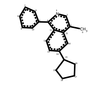 Cc1cnc(-c2ccccc2)c2ccc(C3CCCC3)cc12